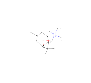 CC1CCC2C(C)(C)C2(OC[N+](C)(C)C)C1